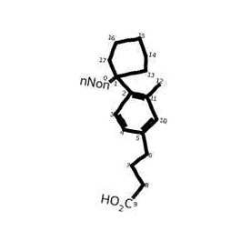 CCCCCCCCCC1(c2ccc(CCCC(=O)O)cc2C)CCCCC1